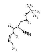 C=C/C=C\C(Cl)=C(/Cl)C(C#N)CC(=O)OC(C)(C)C